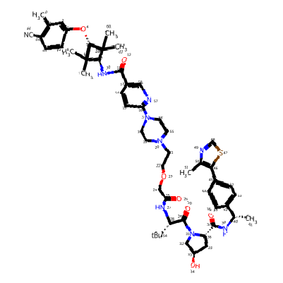 Cc1cc(O[C@H]2C(C)(C)[C@H](NC(=O)c3ccc(N4CCN(CCOCC(=O)N[C@H](C(=O)N5C[C@H](O)C[C@H]5C(=O)N[C@@H](C)c5ccc(-c6scnc6C)cc5)C(C)(C)C)CC4)nc3)C2(C)C)ccc1C#N